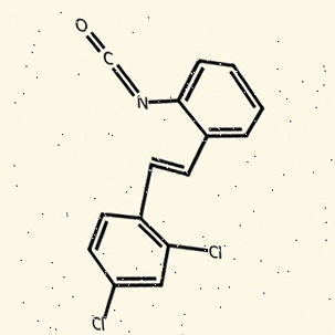 O=C=Nc1ccccc1C=Cc1ccc(Cl)cc1Cl